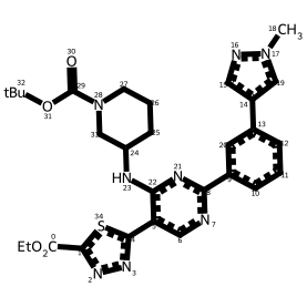 CCOC(=O)c1nnc(-c2cnc(-c3cccc(-c4cnn(C)c4)c3)nc2NC2CCCN(C(=O)OC(C)(C)C)C2)s1